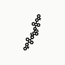 CC1(C)c2ccccc2-c2ccc(-c3c4ccccc4c(-c4ccc5c(c4)[Si](C)(C)c4cc6c7c(cccc7c4-5)[Si](C)(C)c4cc(-c5c7ccccc7c(-c7ccc8c(c7)C(C)(C)c7ccccc7-8)c7ccccc57)ccc4-6)c4ccccc34)cc21